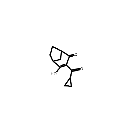 O=C(C1=C(O)C2CCC(C2)C1=O)C1CC1